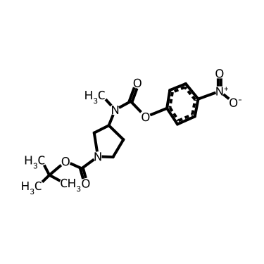 CN(C(=O)Oc1ccc([N+](=O)[O-])cc1)C1CCN(C(=O)OC(C)(C)C)C1